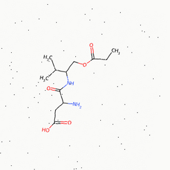 CCC(=O)OCC(NC(=O)C(N)CC(=O)O)C(C)C